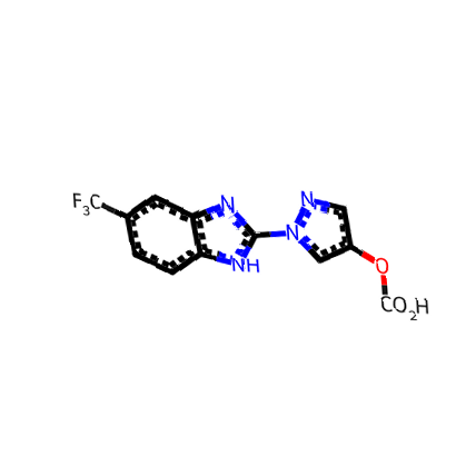 O=C(O)Oc1cnn(-c2nc3cc(C(F)(F)F)ccc3[nH]2)c1